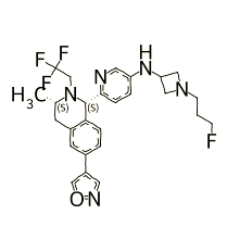 C[C@H]1Cc2cc(-c3cnoc3)ccc2[C@@H](c2ccc(NC3CN(CCCF)C3)cn2)N1CC(F)(F)F